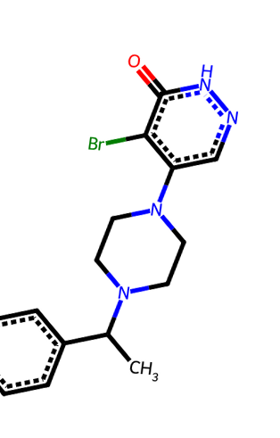 CC(c1ccccc1)N1CCN(c2cn[nH]c(=O)c2Br)CC1